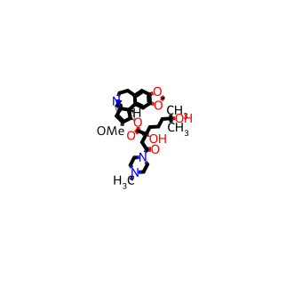 COC1=C[C@]23CCCN2CCc2cc4c(cc2[C@@H]3[C@@H]1OC(=O)[C@@](O)(CCCC(C)(C)O)CC(=O)N1CCN(C)CC1)OCO4